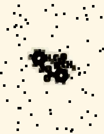 CS(C)(=O)=Nc1ccccc1C(=O)OCc1ccccc1